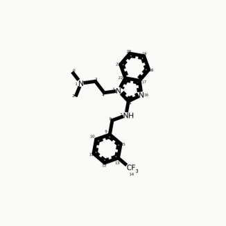 CN(C)CCn1c(NCc2cccc(C(F)(F)F)c2)nc2ccccc21